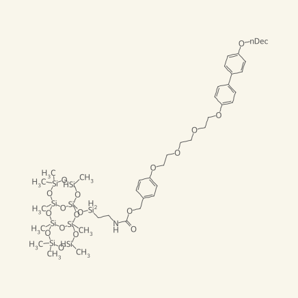 CCCCCCCCCCOc1ccc(-c2ccc(OCCOCCOCCOc3ccc(COC(=O)NCC[SiH2]O[Si]45O[SiH](C)O[Si](C)(C)O[Si](C)(O[Si]6(C)O[Si](C)(C)O[SiH](C)O[Si](C)(O6)O4)O5)cc3)cc2)cc1